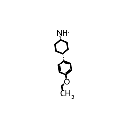 CCOc1ccc([C@H]2CC[C@@H]([NH])CC2)cc1